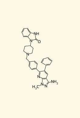 Cn1nc(N)c2cc(-c3ccccc3)c(-c3ccc(CN4CCC(n5c(=O)[nH]c6ccccc65)CC4)cc3)nc21